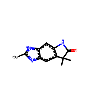 CC(C)(C)c1nc2cc3c(cc2[nH]1)NC(=O)C3(C)C